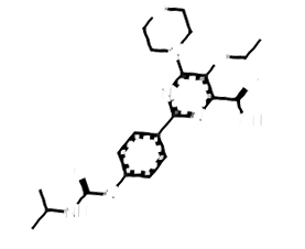 CCOc1c(C(=O)O)nc(-c2ccc(NC(=O)NC(C)C)cc2)nc1N1CCOCC1